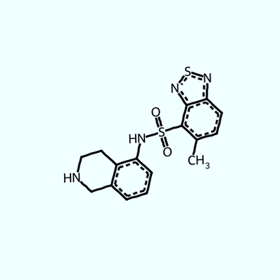 Cc1ccc2nsnc2c1S(=O)(=O)Nc1cccc2c1CCNC2